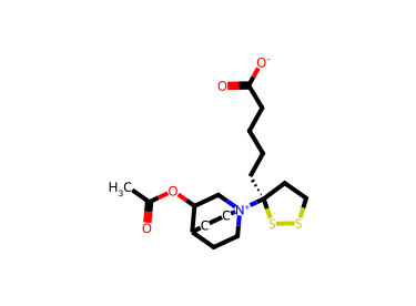 CC(=O)OC1C[N+]2([C@@]3(CCCCC(=O)[O-])CCSS3)CCC1CC2